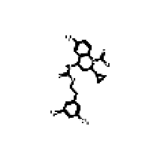 O=C(NC1CC(C2CC2)N(C(=O)Cl)c2ccc(C(F)(F)F)cc21)OCCc1cc(C(F)(F)F)cc(C(F)(F)F)c1